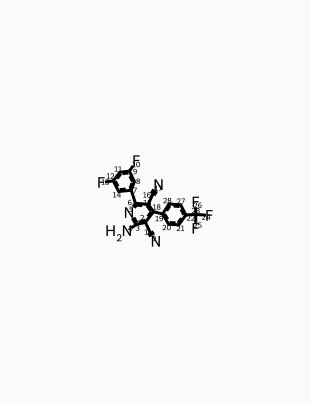 N#Cc1c(N)nc(-c2cc(F)cc(F)c2)c(C#N)c1-c1ccc(C(F)(F)F)cc1